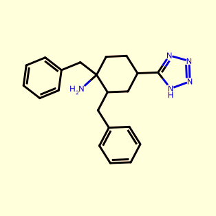 NC1(Cc2ccccc2)CCC(c2nnn[nH]2)CC1Cc1ccccc1